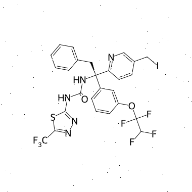 O=C(Nc1nnc(C(F)(F)F)s1)N[C@@](Cc1ccccc1)(c1cccc(OC(F)(F)C(F)F)c1)c1ccc(CI)cn1